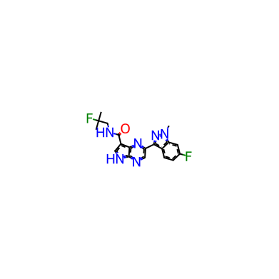 Cn1nc(-c2cnc3[nH]cc(C(=O)NCC(C)(C)F)c3n2)c2ccc(F)cc21